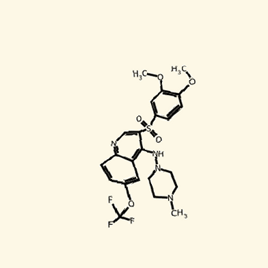 COc1ccc(S(=O)(=O)c2cnc3ccc(OC(F)(F)F)cc3c2NN2CCN(C)CC2)cc1OC